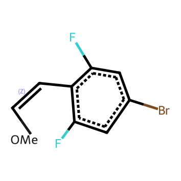 CO/C=C\c1c(F)cc(Br)cc1F